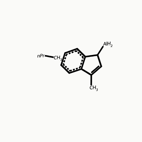 CC1=C[CH]([AlH2])c2ccccc21.CCCC